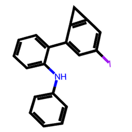 Ic1cc2c(c(-c3ccccc3Nc3ccccc3)c1)C2